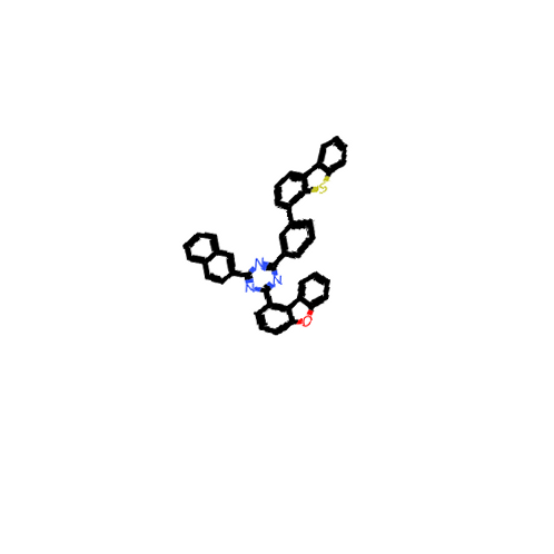 c1cc(-c2nc(-c3ccc4ccccc4c3)nc(-c3cccc4oc5ccccc5c34)n2)cc(-c2cccc3c2sc2ccccc23)c1